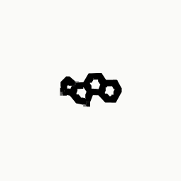 c1ccc2c(c1)ccc1c2ncc2nccn21